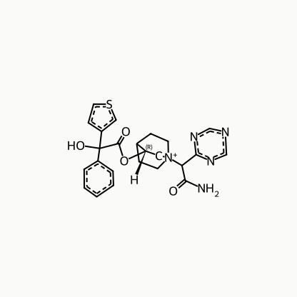 NC(=O)C(c1ncncn1)[N+]12CCC(CC1)[C@@H](OC(=O)C(O)(c1ccccc1)c1ccsc1)C2